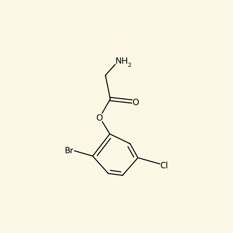 NCC(=O)Oc1cc(Cl)ccc1Br